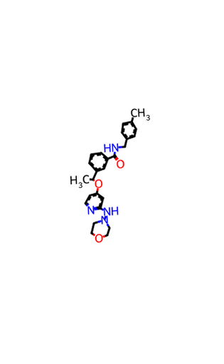 Cc1ccc(CNC(=O)c2cccc(C(C)Oc3ccnc(NN4CCOCC4)c3)c2)cc1